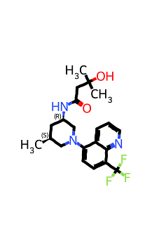 C[C@H]1C[C@@H](NC(=O)CC(C)(C)O)CN(c2ccc(C(F)(F)F)c3ncccc23)C1